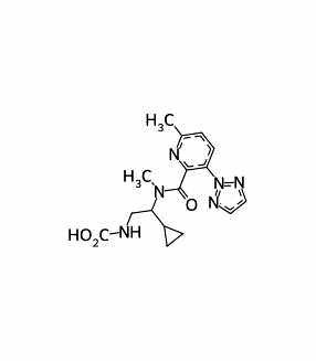 Cc1ccc(-n2nccn2)c(C(=O)N(C)C(CNC(=O)O)C2CC2)n1